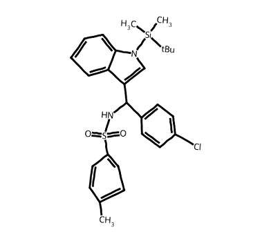 Cc1ccc(S(=O)(=O)NC(c2ccc(Cl)cc2)c2cn([Si](C)(C)C(C)(C)C)c3ccccc23)cc1